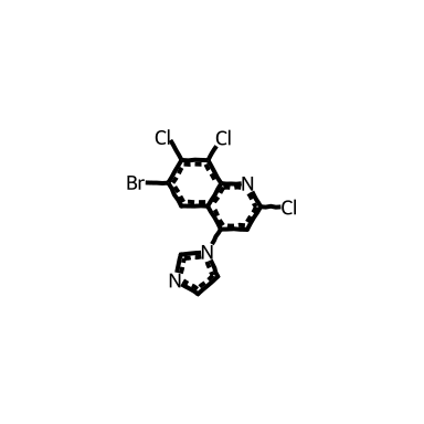 Clc1cc(-n2ccnc2)c2cc(Br)c(Cl)c(Cl)c2n1